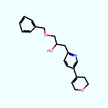 OC(COCc1ccccc1)Cc1ccc(C2=CCOCC2)cn1